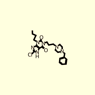 CCCCn1c(=O)n(CCCN2CCN(Cc3ccccc3)CC2)c(=O)c2[nH]c(Cl)nc21